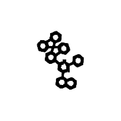 c1ccc(-c2nc(-c3cccc4c3-c3ccccc3C43c4ccccc4-c4ccccc43)cc(-c3cccc4ccccc34)n2)cc1